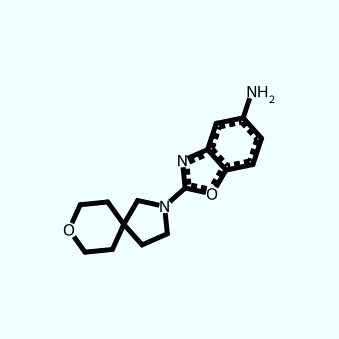 Nc1ccc2oc(N3CCC4(CCOCC4)C3)nc2c1